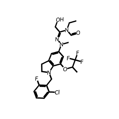 CCN(C=O)/C(CO)=N\N(C)c1cc2c(c(OC(C)C(F)(F)F)c1)N(Cc1c(F)cccc1Cl)CC2